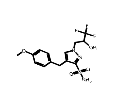 COc1ccc(Cc2cn(CC(O)C(F)(F)F)nc2S(N)(=O)=O)cc1